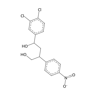 O=[N+]([O-])c1ccc(C(CO)CC(O)c2ccc(Cl)c(Cl)c2)cc1